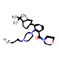 CCCCN1CCN(c2c(C(=O)N3CCOCC3)cccc2C2CCC(C(C)(C)C)CC2)CC1